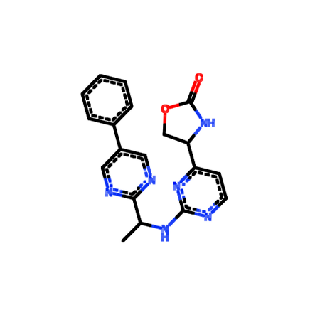 CC(Nc1nccc(C2COC(=O)N2)n1)c1ncc(-c2ccccc2)cn1